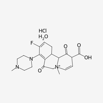 CN1CCN(C2=C3C(=O)C[N+]4(C)C=CC(C(=O)O)C(=O)C4C3CC=C2F)CC1.Cl.O